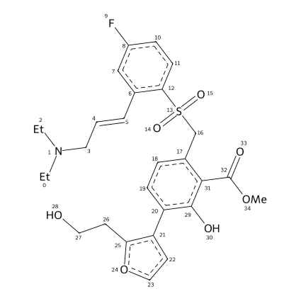 CCN(CC)CC=Cc1cc(F)ccc1S(=O)(=O)Cc1ccc(-c2ccoc2CCO)c(O)c1C(=O)OC